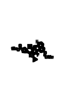 C#Cc1c(F)ccc2cc(OCOC)cc(-c3nc(C4CCC4)c4c(C5C6CN(C(=O)OC(C)(C)C)CC65)nn(C5CC5)c4c3F)c12